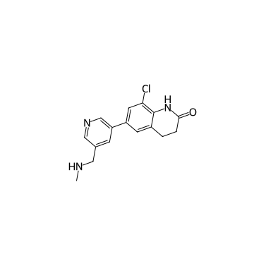 CNCc1cncc(-c2cc(Cl)c3c(c2)CCC(=O)N3)c1